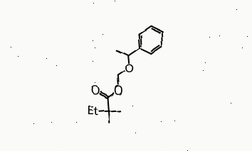 CCC(C)(C)C(=O)OCOC(C)c1ccccc1